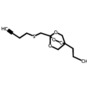 C#CCCSCC12OCC(CCC)(CO1)CO2